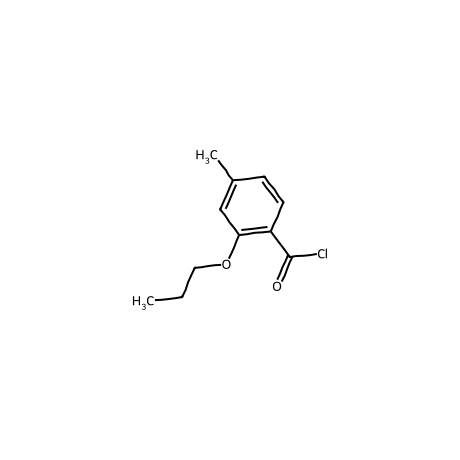 CCCOc1cc(C)ccc1C(=O)Cl